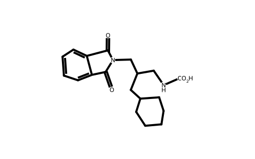 O=C(O)NCC(CC1CCCCC1)CN1C(=O)c2ccccc2C1=O